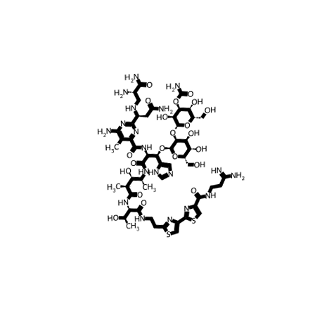 Cc1c(N)nc([C@H](CC(N)=O)NC[C@H](N)C(N)=O)nc1C(=O)N[C@H](C(=O)N[C@H](C)[C@@H](O)[C@H](C)C(=O)N[C@H](C(=O)NCCc1nc(-c2nc(C(=O)NCCC(=N)N)cs2)cs1)[C@@H](C)O)[C@@H](O[C@@H]1O[C@@H](CO)[C@@H](O)[C@H](O)[C@@H]1O[C@H]1O[C@@H](CO)[C@@H](O)[C@H](OC(N)=O)[C@@H]1O)c1cnc[nH]1